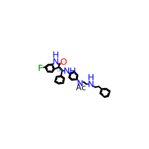 CC(=O)N(CCNCCc1ccccc1)c1ccc(N/C(=C2\C(=O)Nc3cc(F)ccc32)c2ccccc2)cc1